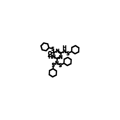 COC1(SC2CCCCC2)N=C(NSC2CCCCC2)N=C(N(SC2CCCCC2)SC2CCCCC2)N1